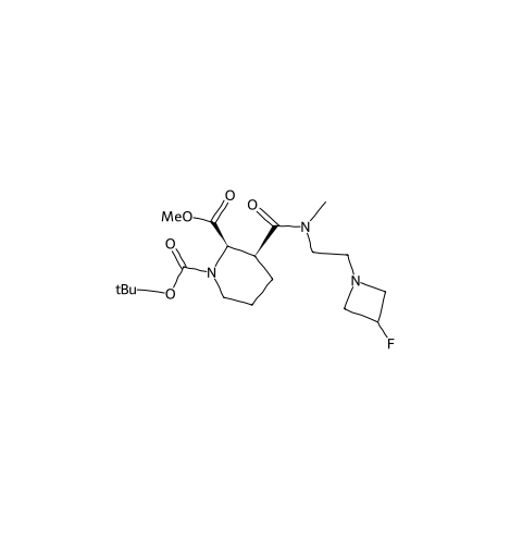 COC(=O)[C@H]1[C@@H](C(=O)N(C)CCN2CC(F)C2)CCCN1C(=O)OC(C)(C)C